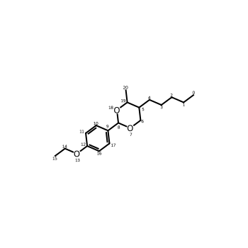 CCCCCC1COC(c2ccc(OCC)cc2)OC1C